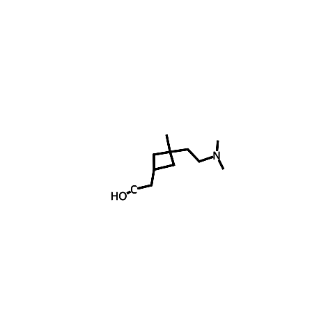 CN(C)CCC1(C)CC(CCO)C1